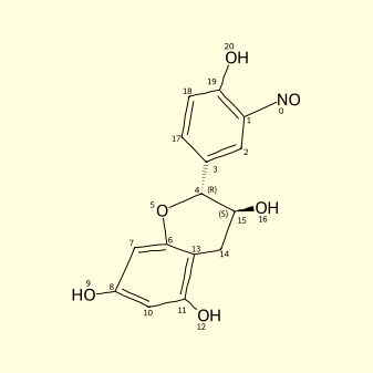 O=Nc1cc([C@H]2Oc3cc(O)cc(O)c3C[C@@H]2O)ccc1O